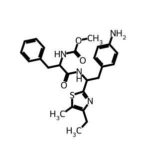 CCc1nc(C(Cc2ccc(N)cc2)NC(=O)C(Cc2ccccc2)NC(=O)OC)sc1C